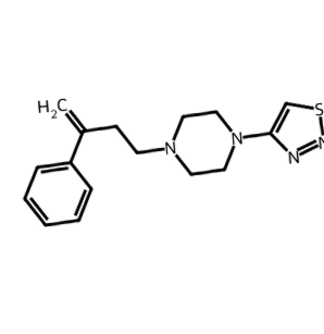 C=C(CCN1CCN(c2csnn2)CC1)c1ccccc1